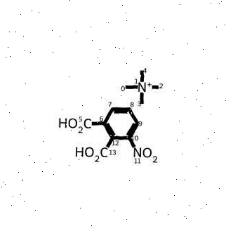 C[N+](C)(C)C.O=C(O)c1cccc([N+](=O)[O-])c1C(=O)O